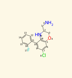 NCC1COc2cc(Cl)cc(-c3ccccc3F)c2N1